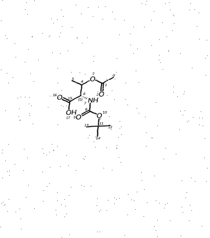 CC(=O)OC(C)[C@H](NC(=O)OC(C)(C)C)C(=O)O